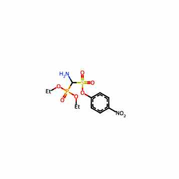 CCOP(=O)(OCC)C(N)S(=O)(=O)Oc1ccc([N+](=O)[O-])cc1